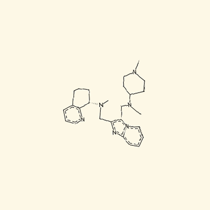 CN1CCC(N(C)Cc2c(CN(C)[C@H]3CCCc4cccnc43)nc3ccccn23)CC1